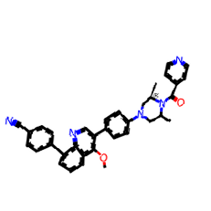 COc1c(-c2ccc(N3CC(C)N(C(=O)c4ccncc4)[C@H](C)C3)cc2)cnc2c(-c3ccc(C#N)cc3)cccc12